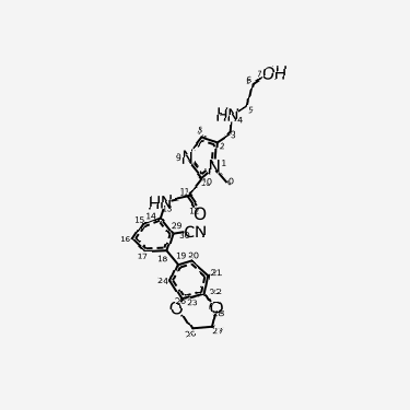 Cn1c(CNCCO)cnc1C(=O)Nc1cccc(-c2ccc3c(c2)OCCO3)c1C#N